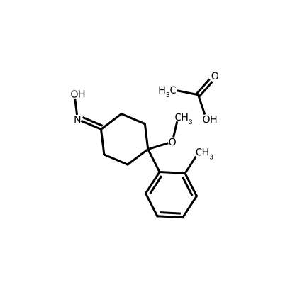 CC(=O)O.COC1(c2ccccc2C)CCC(=NO)CC1